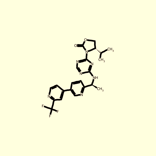 CC(C)[C@H]1COC(=O)N1c1ncnc(N[C@@H](C)c2ccc(-c3ccnc(C(F)(F)F)c3)cn2)n1